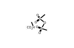 CC(=O)O.CS(=O)(=O)OS(C)(=O)=O